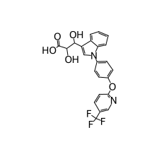 O=C(O)C(O)C(O)c1cn(-c2ccc(Oc3ccc(C(F)(F)F)cn3)cc2)c2ccccc12